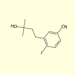 CC(C)(O)CCc1cc(C#N)ccc1I